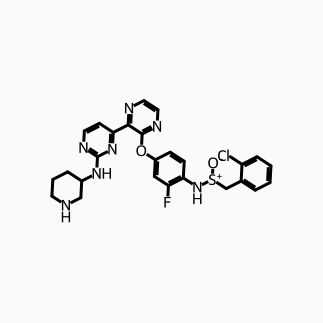 [O-][S+](Cc1ccccc1Cl)Nc1ccc(Oc2nccnc2-c2ccnc(NC3CCCNC3)n2)cc1F